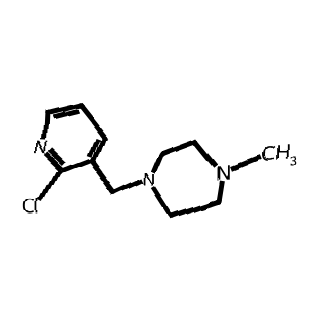 CN1CCN(Cc2cccnc2Cl)CC1